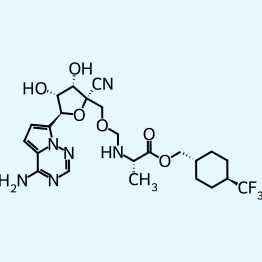 C[C@H](NCOC[C@@]1(C#N)O[C@@H](c2ccc3c(N)ncnn23)[C@H](O)[C@@H]1O)C(=O)OC[C@H]1CC[C@H](C(F)(F)F)CC1